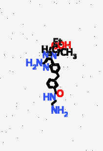 CCOCc1nc2c(N)nc3cc(Cc4cccc(C(=O)NCCN)c4)ccc3c2n1CC(C)(C)O